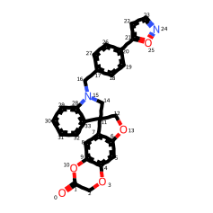 O=C1COc2cc3c(cc2O1)C1(CO3)CN(Cc2ccc(-c3ccno3)cc2)c2ccccc21